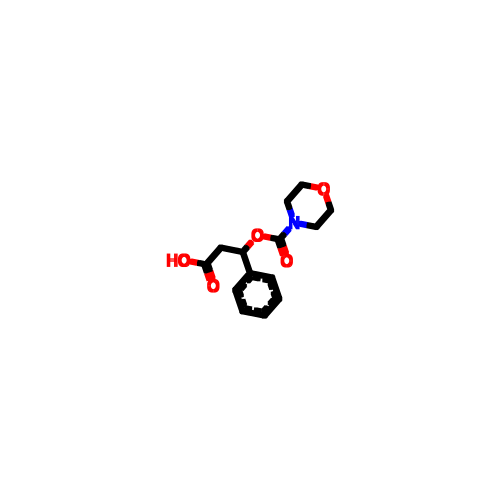 O=C(O)CC(OC(=O)N1CCOCC1)c1ccccc1